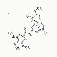 COc1ccc(C23CC=C(OC(=O)c4cc(OC)c(OC)c(OC)c4)CC2N(C)CC3)cc1C